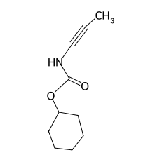 CC#CNC(=O)OC1CCCCC1